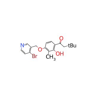 Cc1c(OCc2cnccc2Br)ccc(C(=O)CC(C)(C)C)c1O